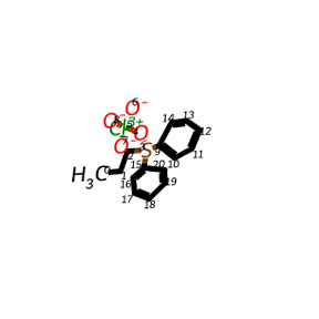 CCCS(O[Cl+3]([O-])([O-])[O-])(c1ccccc1)c1ccccc1